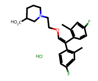 Cc1cc(F)ccc1C(=COCCN1CCCC(C(=O)O)C1)c1ccc(F)cc1C.Cl